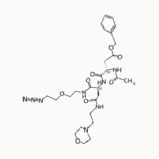 CC(=O)N[C@@H](CC(=O)OCc1ccccc1)C(=O)N[C@@H](CC(=O)NCCN1CCOCC1)C(=O)NCCOCCN=[N+]=[N-]